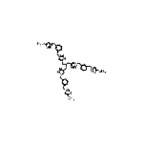 Cc1cn(Cc2cccc(Cn3cc(CN(Cc4cn(Cc5cccc(Cn6cc(C)nn6)c5)nn4)Cc4cn(Cc5cccc(Cn6cc(C)nn6)c5)nn4)nn3)c2)nn1